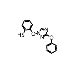 Sc1ccccc1On1cnc(Oc2ccccc2)n1